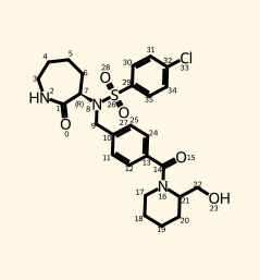 O=C1NCCCC[C@H]1N(Cc1ccc(C(=O)N2CCCCC2CO)cc1)S(=O)(=O)c1ccc(Cl)cc1